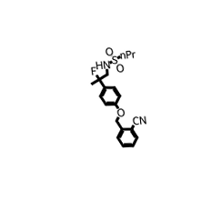 CCCS(=O)(=O)NCC(C)(F)c1ccc(OCc2ccccc2C#N)cc1